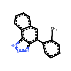 Cc1ccccc1-c1cc2ccccc2c2[nH]nnc12